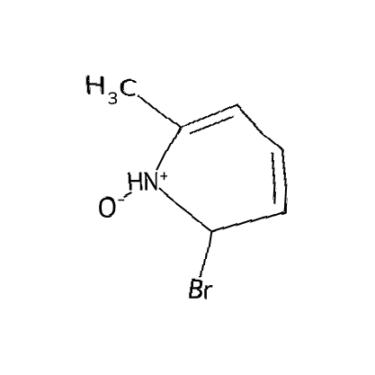 CC1=CC=CC(Br)[NH+]1[O-]